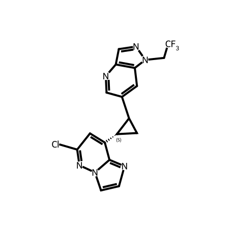 FC(F)(F)Cn1ncc2ncc(C3C[C@@H]3c3cc(Cl)nn4ccnc34)cc21